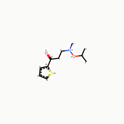 CC(C)ON(C)CCC(=O)c1cccs1